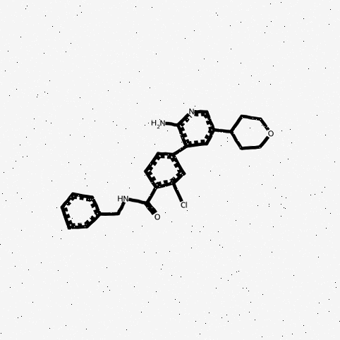 Nc1ncc(C2CCOCC2)cc1-c1ccc(C(=O)NCc2ccccc2)c(Cl)c1